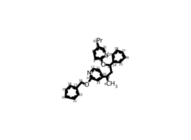 CC(C)c1ccc(OC(CC(C)c2ccnc(OCc3ccccc3)c2)c2ccccc2)nc1